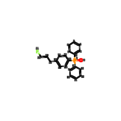 O=P(c1ccccc1)(c1ccccc1)c1ccc(CC=CF)cc1